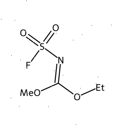 CCOC(=NS(=O)(=O)F)OC